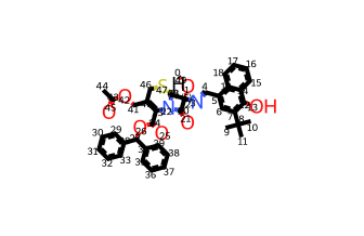 CO[C@@]1(N=Cc2cc(C(C)(C)C)c(O)c3ccccc23)C(=O)N2C(C(=O)OC(c3ccccc3)c3ccccc3)=C(COC(C)=O)CS[C@H]21